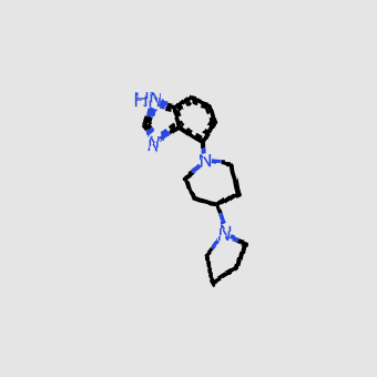 c1cc(N2CCC(N3CCCC3)CC2)c2nc[nH]c2c1